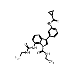 O=C(NCC(F)(F)F)Nc1cccc2c(-c3ccnc(NC(=O)C4CC4)c3)cn(C(=O)NCC(F)(F)F)c12